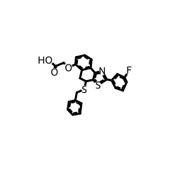 O=C(O)COc1cccc2c1CC(SCc1ccccc1)c1sc(-c3cccc(F)c3)nc1-2